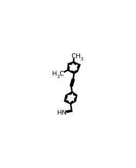 Cc1ccc(C#Cc2ccc(C=N)cc2)c(C)c1